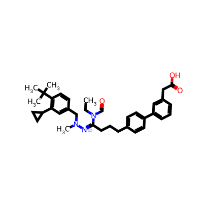 CCN(C=O)/C(CCCc1ccc(-c2cccc(CC(=O)O)c2)cc1)=N\N(C)Cc1ccc(C(C)(C)C)c(C2CC2)c1